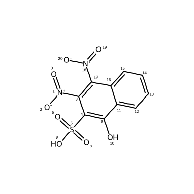 O=[N+]([O-])c1c(S(=O)(=O)O)c(O)c2ccccc2c1[N+](=O)[O-]